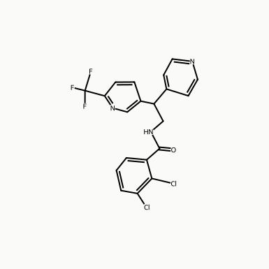 O=C(NCC(c1ccncc1)c1ccc(C(F)(F)F)nc1)c1cccc(Cl)c1Cl